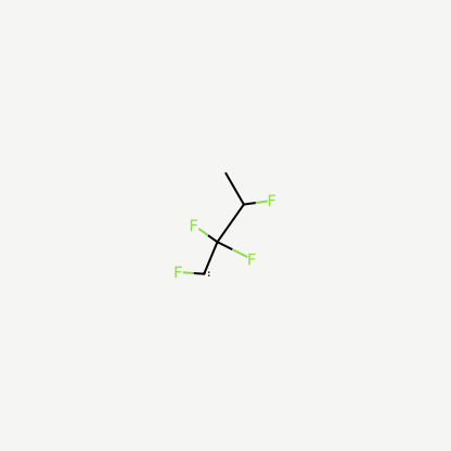 CC(F)C(F)(F)[C]F